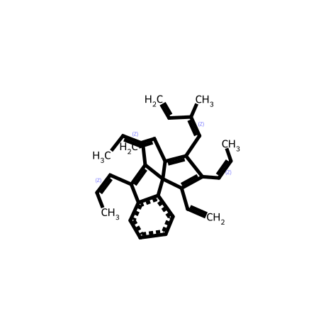 C=CC1=C(/C=C\C)C(/C=C(/C)C=C)=C(C=C)C12C(/C=C\C)=C(/C=C\C)c1ccccc12